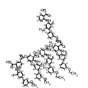 CCOc1cccc(-c2cc(F)c(Nc3ncc(C)cc3C(=O)O)c(F)c2)c1.CCOc1cccc(-c2cc(F)c(Nc3ncccc3C(=O)O)cc2C)c1.COc1cccc(-c2cc(F)c(Nc3ncc(C)cc3C(=O)O)c(F)c2)c1.COc1cccc(-c2cc(F)c(Nc3ncccc3C(=O)O)cc2C)c1.COc1cccc(-c2ccc(Nc3ncc(C4CC4)cc3C(=O)O)c(F)c2)c1